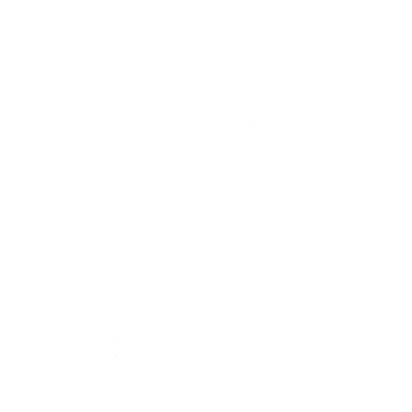 COc1ccc(COC2CCC(c3ccc(-c4ccc(C5CO5)c(F)c4F)c(F)c3F)CC2)c(F)c1F